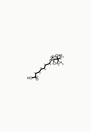 CC(C)(C)[Si](C)(C)OCCCCCCC(=O)O